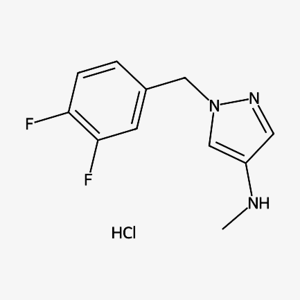 CNc1cnn(Cc2ccc(F)c(F)c2)c1.Cl